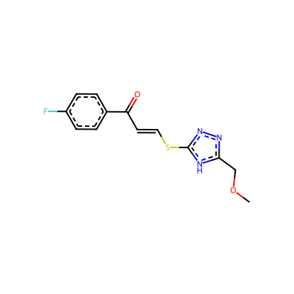 COCc1nnc(S/C=C/C(=O)c2ccc(F)cc2)[nH]1